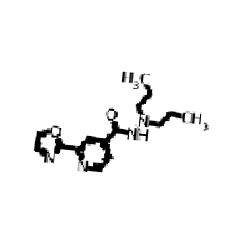 CCCN(CCC)NC(=O)c1ccnc(-c2ncco2)c1